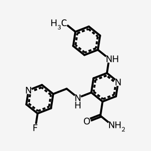 Cc1ccc(Nc2cc(NCc3cncc(F)c3)c(C(N)=O)cn2)cc1